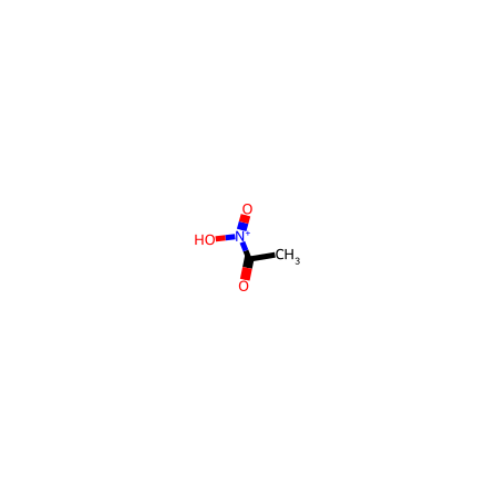 CC(=O)[N+](=O)O